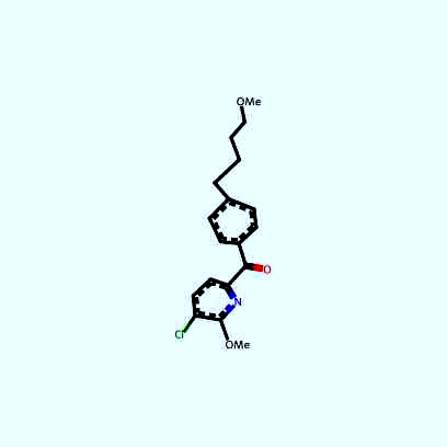 COCCCCc1ccc(C(=O)c2ccc(Cl)c(OC)n2)cc1